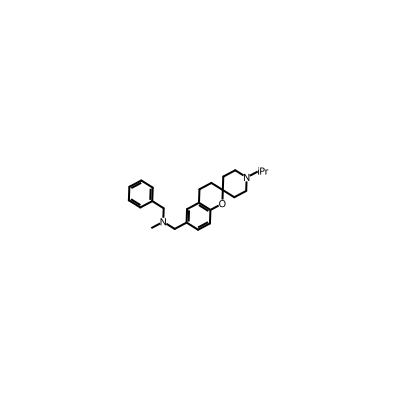 CC(C)N1CCC2(CCc3cc(CN(C)Cc4ccccc4)ccc3O2)CC1